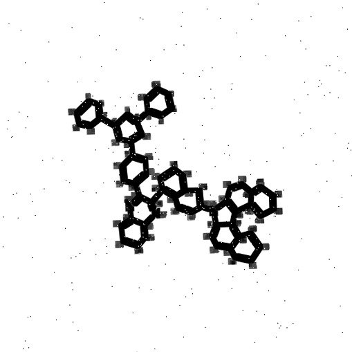 c1ccc(-c2cc(-c3ccccc3)cc(-c3ccc(-c4nc5ccccc5nc4-c4cccc5cc(-n6c7ccc8ccccc8c7c7c8ccccc8ccc76)ccc45)cc3)c2)cc1